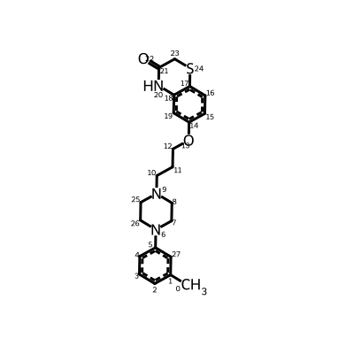 Cc1cccc(N2CCN(CCCOc3ccc4c(c3)NC(=O)CS4)CC2)c1